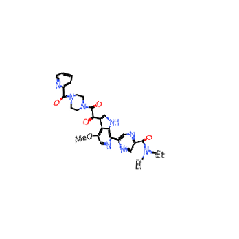 CCN(CC)C(=O)c1cnc(-c2ncc(OC)c3c(C(=O)C(=O)N4CCN(C(=O)c5ccccn5)CC4)c[nH]c23)cn1